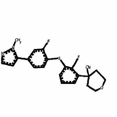 Cn1nccc1-c1ccc(Sc2cccc(C3(C#N)CCOCC3)c2F)c(F)c1